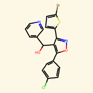 OC(c1cccnc1)c1c(-c2ccc(Br)s2)noc1-c1ccc(Cl)cc1